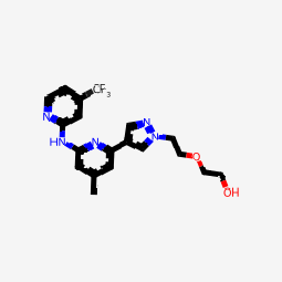 Cc1cc(Nc2cc(C(F)(F)F)ccn2)nc(-c2cnn(CCOCCO)c2)c1